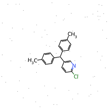 Cc1ccc(C(c2ccc(C)cc2)c2ccc(Cl)nc2)cc1